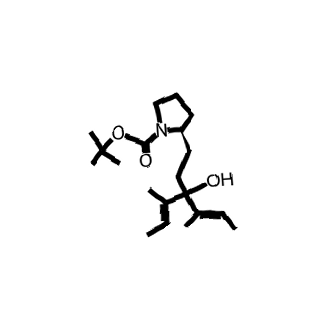 C/C=C(\C)C(O)(CC[C@@H]1CCCN1C(=O)OC(C)(C)C)/C(C)=C/C